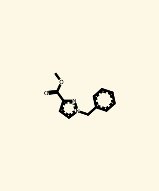 COC(=O)c1ccn(Cc2ccccc2)n1